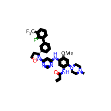 C=CC(=O)Nc1cc(Nc2cc(N3OCC[C@@H]3c3cccc(-c4cccc(C(F)(F)F)c4F)c3)ncn2)c(OC)cc1N1CCN(C)CC1